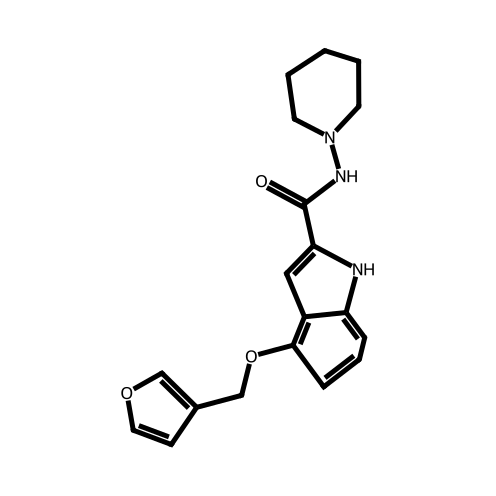 O=C(NN1CCCCC1)c1cc2c(OCc3ccoc3)cccc2[nH]1